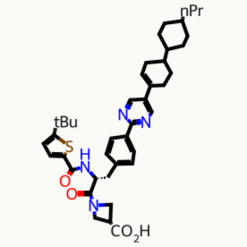 CCCC1CCC(C2CC=C(c3cnc(-c4ccc(C[C@@H](NC(=O)c5ccc(C(C)(C)C)s5)C(=O)N5CC(C(=O)O)C5)cc4)nc3)CC2)CC1